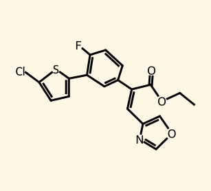 CCOC(=O)C(=Cc1cocn1)c1ccc(F)c(-c2ccc(Cl)s2)c1